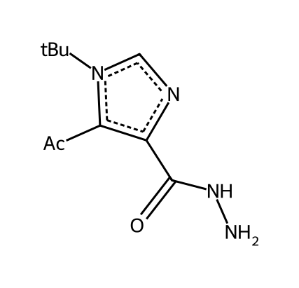 CC(=O)c1c(C(=O)NN)ncn1C(C)(C)C